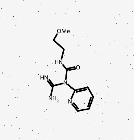 COCCNC(=O)N(C(=N)N)c1ccccn1